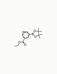 CCOC(=O)c1cncc(B2OC(C)(C)C(C)(C)O2)c1